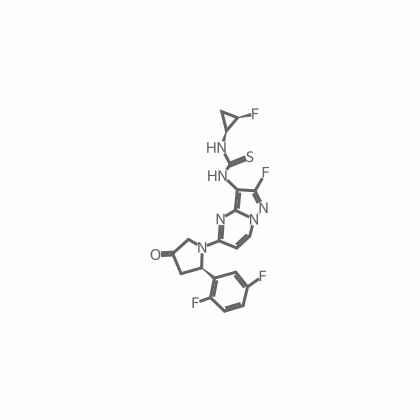 O=C1C[C@H](c2cc(F)ccc2F)N(c2ccn3nc(F)c(NC(=S)N[C@H]4C[C@H]4F)c3n2)C1